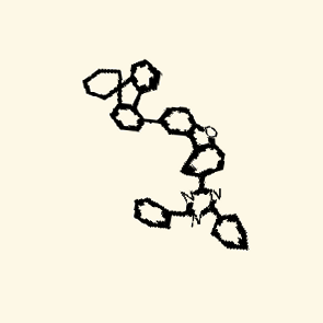 c1ccc(-c2nc(-c3ccccc3)nc(-c3ccc4oc5ccc(-c6cccc7c6-c6ccccc6C76CCCCC6)cc5c4c3)n2)cc1